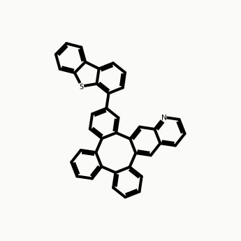 c1ccc2c(c1)-c1ccccc1-c1cc3cccnc3cc1-c1cc(-c3cccc4c3sc3ccccc34)ccc1-2